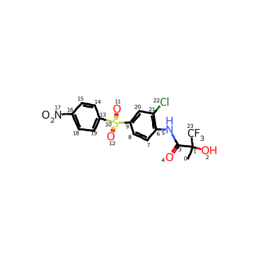 CC(O)(C(=O)Nc1ccc(S(=O)(=O)c2ccc([N+](=O)[O-])cc2)cc1Cl)C(F)(F)F